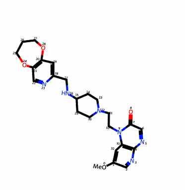 COc1cnc2ncc(=O)n(CCN3CCC(NCc4cc5c(cn4)OCCCO5)CC3)c2c1